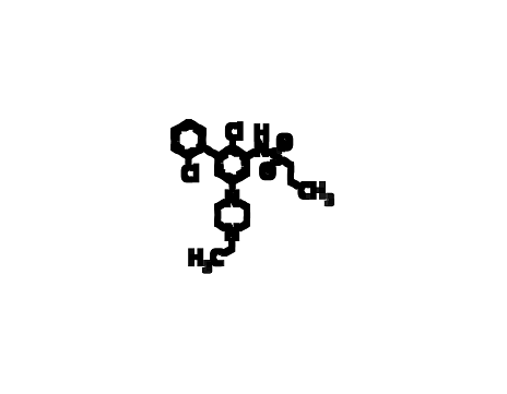 CCCS(=O)(=O)Nc1cc(N2CCN(CC)CC2)cc(-c2ccccc2Cl)c1Cl